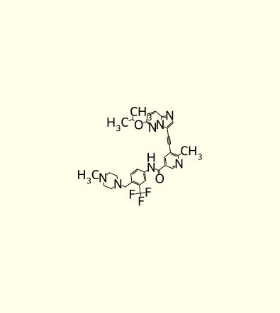 Cc1ncc(C(=O)Nc2ccc(CN3CCN(C)CC3)c(C(F)(F)F)c2)cc1C#Cc1cnc2ccc(OC(C)C)nn12